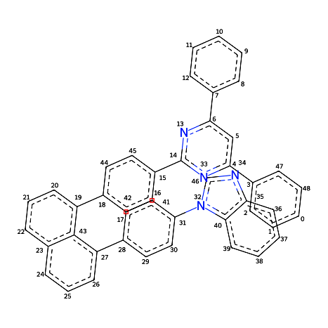 c1ccc(-c2cc(-c3ccccc3)nc(-c3ccc(-c4cccc5cccc(-c6ccc(-n7cnc8ccccc87)cc6)c45)cc3)n2)cc1